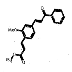 COc1cc(C=CC(=O)c2ccccc2)ccc1C=CC(=O)OC(C)(C)C